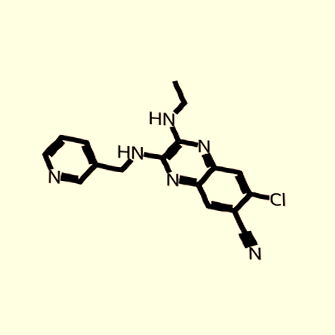 CCNc1nc2cc(Cl)c(C#N)cc2nc1NCc1cccnc1